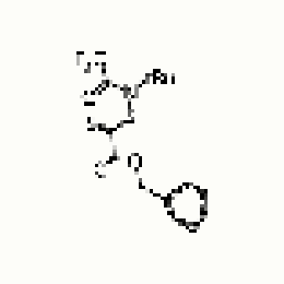 CC(C)(C)N(SC(=S)C(=O)OCc1ccccc1)C(=O)C(F)(F)F